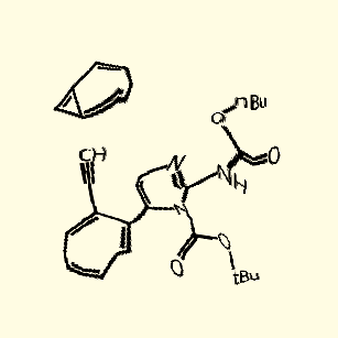 C#Cc1ccccc1-c1cnc(NC(=O)OCCCC)n1C(=O)OC(C)(C)C.c1cc2cc-2c1